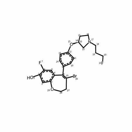 Oc1cc2c(cc1F)C(c1ccc(O[C@H]3CCN(CCCF)C3)cc1)=C(Br)CCO2